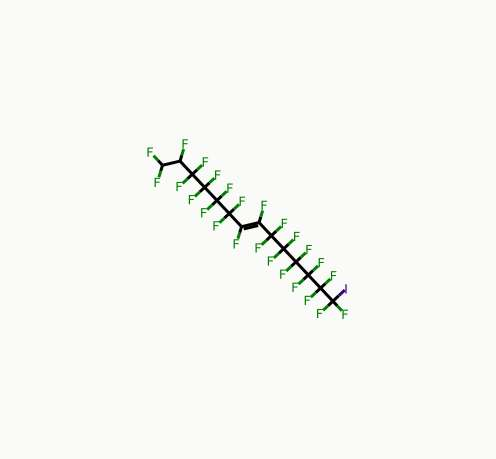 FC(=C(F)C(F)(F)C(F)(F)C(F)(F)C(F)(F)C(F)(F)C(F)(F)I)C(F)(F)C(F)(F)C(F)(F)C(F)(F)C(F)C(F)F